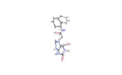 Cn1c(=O)[nH]c2ncn(CC(=O)Nc3cccc4c3CCCC4)c2c1=O